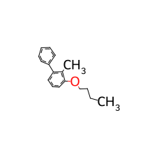 CCCCOc1cccc(-c2ccccc2)c1C